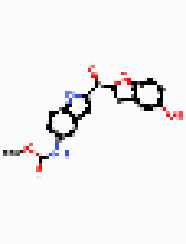 CC(C)(C)OC(=O)Nc1ccc2[nH]c(C(=O)c3cc4cc(O)ccc4o3)cc2c1